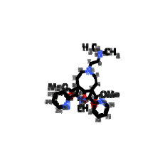 COC(=O)C12CCN(CCN(C)C)CCC(C(=O)OC)(C1=O)C(c1ccccn1)N(C)C2c1ccccn1